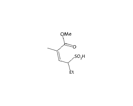 [CH2]CC(C=C(C)C(=O)OC)S(=O)(=O)O